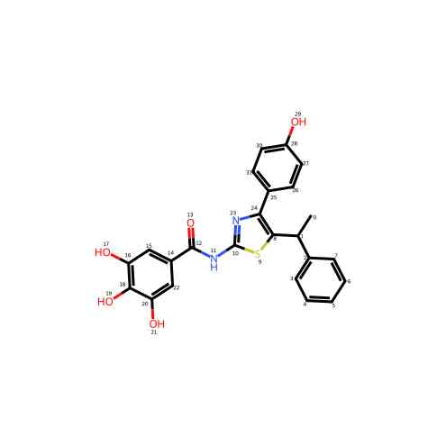 CC(c1ccccc1)c1sc(NC(=O)c2cc(O)c(O)c(O)c2)nc1-c1ccc(O)cc1